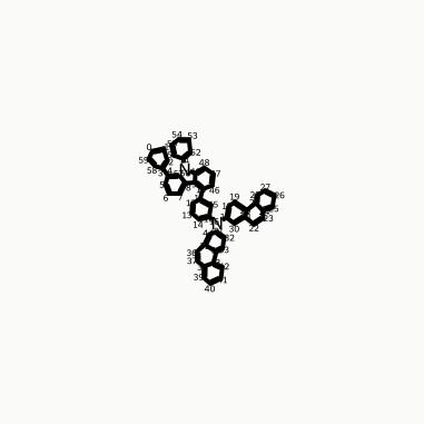 c1ccc(-c2cccc3c4c(-c5cccc(N(c6ccc7c(ccc8ccccc87)c6)c6ccc7c(ccc8ccccc87)c6)c5)cccc4n(-c4ccccc4)c23)cc1